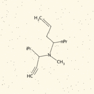 C#CC(C(C)C)N(C)C(CC=C)CCC